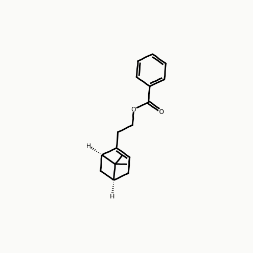 CC1(C)[C@H]2CC=C(CCOC(=O)c3ccccc3)[C@@H]1C2